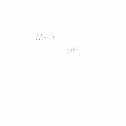 [CH2]C(C)(C)[SiH2]OC